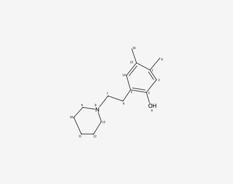 Cc1cc(O)c(CCN2CCCCC2)cc1C